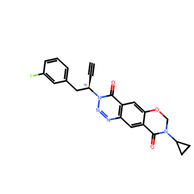 C#C[C@H](Cc1cccc(F)c1)n1nnc2cc3c(cc2c1=O)OCN(C1CC1)C3=O